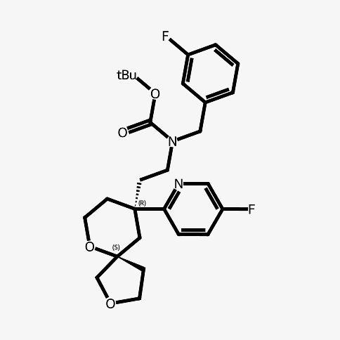 CC(C)(C)OC(=O)N(CC[C@@]1(c2ccc(F)cn2)CCO[C@]2(CCOC2)C1)Cc1cccc(F)c1